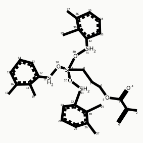 C=C(C)C(=O)OCCC[Si](O[SiH2]c1cccc(C)c1C)(O[SiH2]c1cccc(C)c1C)O[SiH2]c1cccc(C)c1C